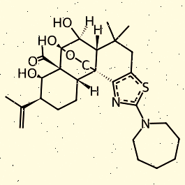 C=C(C)[C@@H]1CC[C@H]2[C@@]34CO[C@@](O)([C@@H](O)[C@@H]3C(C)(C)Cc3sc(N5CCCCCC5)nc34)[C@@]2(C(C)=O)[C@@H]1O